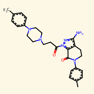 Cc1ccc(N2CCc3c(N)nn(C(=O)CCN4CCN(c5ccc(C(F)(F)F)cc5)CC4)c3C2=O)cc1